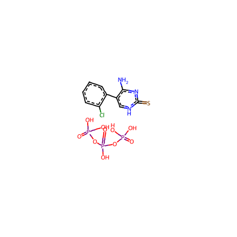 Nc1nc(=S)[nH]cc1-c1ccccc1Cl.O=P(O)(O)OP(=O)(O)OP(=O)(O)O